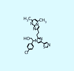 Cc1cc(C)n2cc(CCc3nc(-c4cncs4)cn3C(CO)c3ccc(Cl)cc3)nc2n1